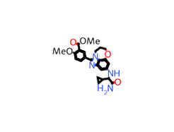 COC(=O)c1cc(-c2nc3cc(NC(C(N)=O)C4CC4)cc4c3n2CCCO4)ccc1OC